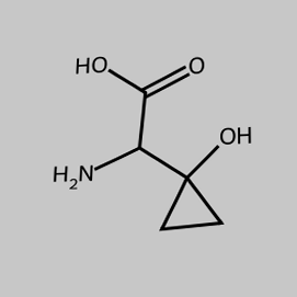 NC(C(=O)O)C1(O)CC1